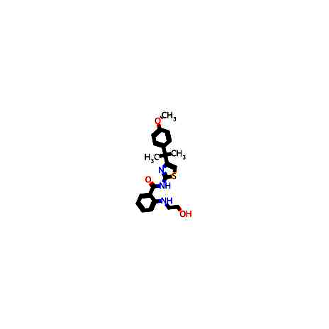 COc1ccc(C(C)(C)c2csc(NC(=O)c3ccccc3NCCO)n2)cc1